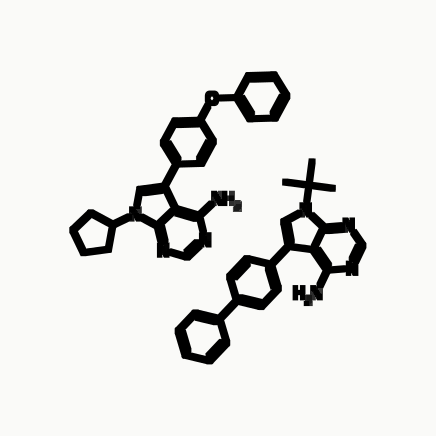 CC(C)(C)n1cc(-c2ccc(-c3ccccc3)cc2)c2c(N)ncnc21.Nc1ncnc2c1c(-c1ccc(Oc3ccccc3)cc1)cn2C1CCCC1